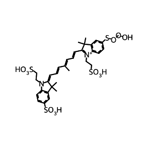 CC(/C=C/C=C1/N(CCS(=O)(=O)O)c2ccc(S(=O)(=O)O)cc2C1(C)C)=C\C=C\C1=[N+](CCS(=O)(=O)O)c2ccc(SOOO)cc2C1(C)C